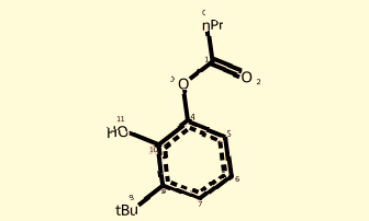 CCCC(=O)Oc1cccc(C(C)(C)C)c1O